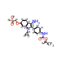 C[C@@H](OC(=O)Nc1ccc(-c2c(N)c3ccc(OCS(C)(=O)=O)cc3n2C2CC2)cc1)C(F)(F)F